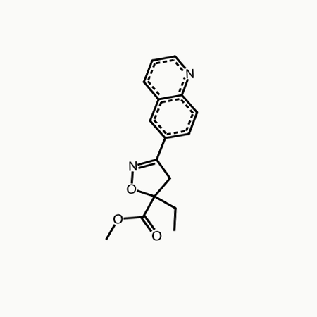 CCC1(C(=O)OC)CC(c2ccc3ncccc3c2)=NO1